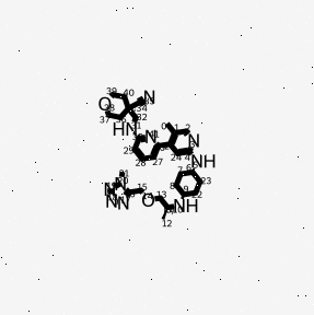 Cc1cnc(N[C@H]2CC[C@H](N[C@@H](C)COCc3nnnn3C)CC2)cc1-c1cccc(NCC2(C#N)CCOCC2)n1